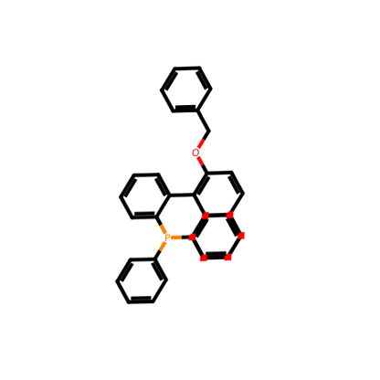 c1ccc(COc2ccc3ccccc3c2-c2ccccc2P(c2ccccc2)c2ccccc2)cc1